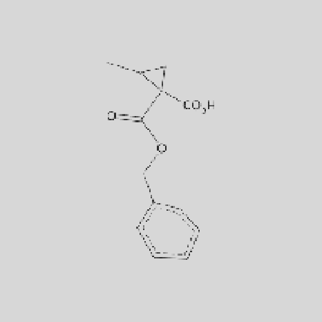 CC1CC1(C(=O)O)C(=O)OCc1ccccc1